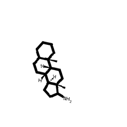 C[C@]12CCCCC1CC[C@@H]1[C@H]2CC[C@]2(C)C(N)CC[C@@H]12